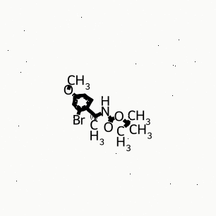 COc1ccc([C@@H](C)NC(=O)OC(C)(C)C)c(Br)c1